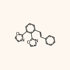 C(=Cc1cccc(-c2ncco2)c1-c1ncco1)c1ccccc1